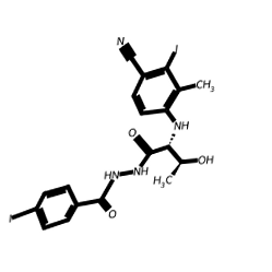 Cc1c(N[C@@H](C(=O)NNC(=O)c2ccc(I)cc2)[C@H](C)O)ccc(C#N)c1I